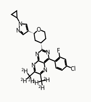 [2H]C([2H])([2H])c1nc2nc([C@H]3CCO[C@@H](c4cnn(C5CC5)c4)C3)nc(-c3ccc(Cl)cc3F)c2nc1C([2H])([2H])[2H]